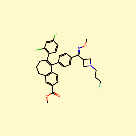 CON=C(c1ccc(C2=C(c3ccc(Cl)cc3Cl)CCCc3cc(C(=O)OC)ccc32)cc1)C1CN(CCCF)C1